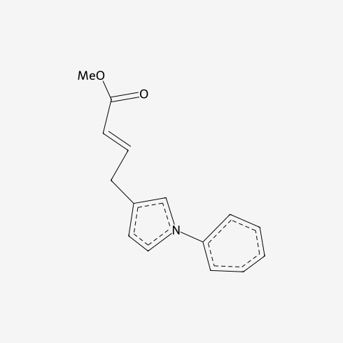 COC(=O)/C=C/Cc1ccn(-c2ccccc2)c1